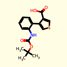 CC(C)(C)OC(=O)Nc1ccccc1-c1cscc1C(=O)O